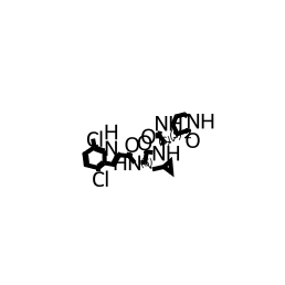 NC(=O)[C@H](C[C@@H]1CCCNC1=O)NC(=O)[C@H](CC1CC1)NC(=O)c1cc2c(Cl)ccc(Cl)c2[nH]1